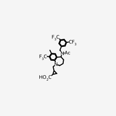 CC(=O)N(Cc1cc(C(F)(F)F)cc(C(F)(F)F)c1)C1CCCN(CC2CC2C(=O)O)c2cc(C(F)(F)F)c(C)cc21